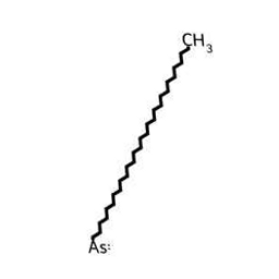 CCCCCCCCCCCCCCCCCCCCCCCCCCCCC[As]